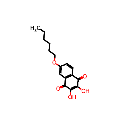 CCCCCCOc1ccc2c(c1)C(=O)C(O)=C(O)C2=O